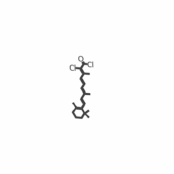 CC1=C(/C=C/C(C)=C/C=C/C(C)=C(\Cl)C(=O)Cl)C(C)(C)CCC1